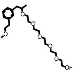 COCCc1cccc(CC(C)OCCOCCOCCOCCOCCO)c1